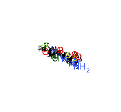 CN1C(N)=N[C@](C)(c2nc(NC(=O)c3ncc(OC(F)F)cc3Cl)cs2)CS1(=O)=O